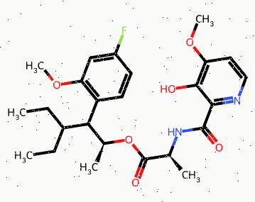 CCC(CC)C(c1ccc(F)cc1OC)[C@H](C)OC(=O)[C@H](C)NC(=O)c1nccc(OC)c1O